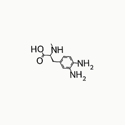 CN[C@@H](Cc1ccc(N)c(N)c1)C(=O)O